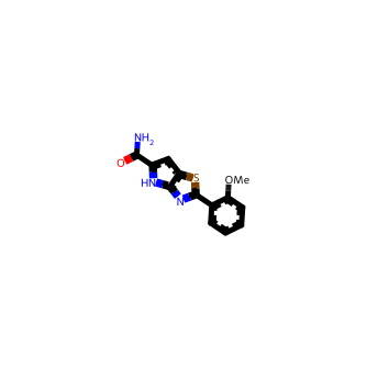 COc1ccccc1-c1nc2[nH]c(C(N)=O)cc2s1